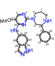 COc1cnc(N2CCCNC(c3ccccc3)C2)nc1Nc1ccc2[nH]ncc2c1